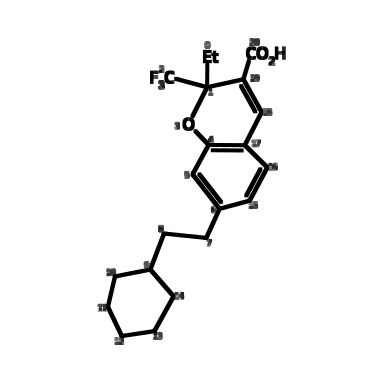 CCC1(C(F)(F)F)Oc2cc(CCC3CCCCC3)ccc2C=C1C(=O)O